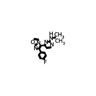 CC(C)Nc1nccc(-c2c(-c3ccc(F)cc3)nc3occn23)n1